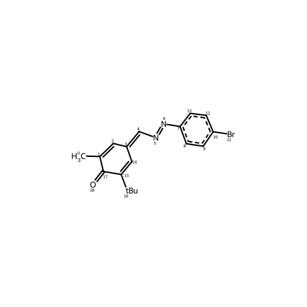 CC1=CC(=CN=Nc2ccc(Br)cc2)C=C(C(C)(C)C)C1=O